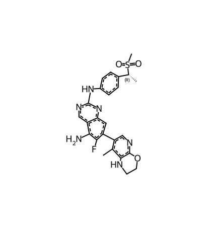 Cc1c(-c2cc3nc(Nc4ccc([C@@H](C)S(C)(=O)=O)cc4)ncc3c(N)c2F)cnc2c1NCCO2